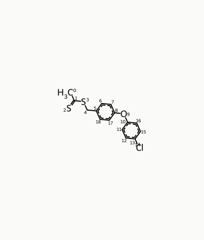 CC(=S)SCc1ccc(Oc2ccc(Cl)cc2)cc1